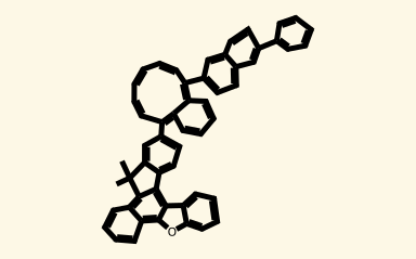 CC1(C)c2cc(-c3ccccccc(-c4ccc5cc(-c6ccccc6)ccc5c4)c4ccccc34)ccc2-c2c1c1ccccc1c1oc3ccccc3c21